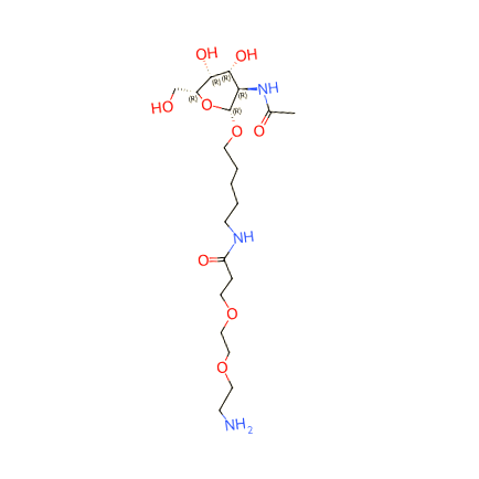 CC(=O)N[C@H]1[C@H](OCCCCCNC(=O)CCOCCOCCN)O[C@H](CO)[C@H](O)[C@@H]1O